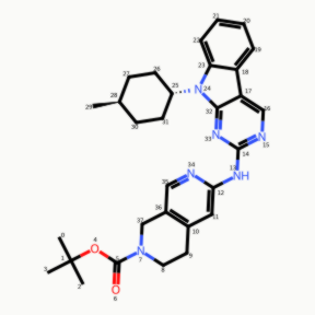 CC(C)(C)OC(=O)N1CCc2cc(Nc3ncc4c5ccccc5n([C@H]5CC[C@H](C)CC5)c4n3)ncc2C1